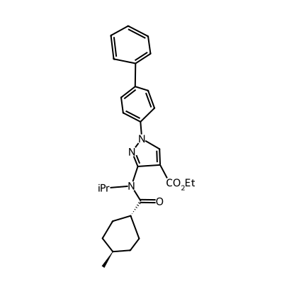 CCOC(=O)c1cn(-c2ccc(-c3ccccc3)cc2)nc1N(C(=O)[C@H]1CC[C@H](C)CC1)C(C)C